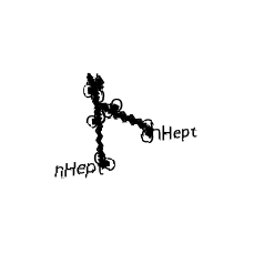 CCCCCCCC(=O)OCCCCCCCC(=O)OCC(COC(=O)CCCCCCCOC(=O)CCCCCCC)COC(=O)C1(C)CCN(C)C1